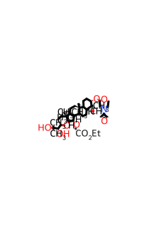 CCOC(=O)CO[C@H]1[C@H]2O[C@@H]([C@H](O)C(C)(C)O)C[C@@H](C)[C@@H]2[C@@]2(C)CC[C@@]34C[C@@]35CC[C@H](O[C@H]3CN(C6COC6)CCO3)C(C)(C)[C@@H]5CC[C@H]4[C@]12C